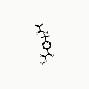 C=C(C)C(=O)NC(C)(C)c1ccc(C(=O)C(=S)OCC)cc1